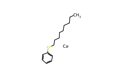 CCCCCCCCCSc1ccccc1.[Ca]